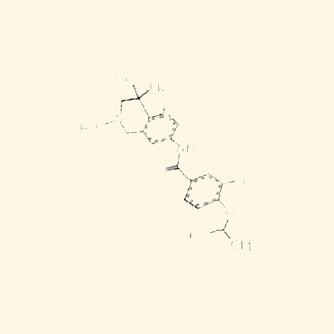 CC(C)Oc1ccc(C(=O)Nc2cnc3c(c2)CN(C)CC3(C)C)cc1Br